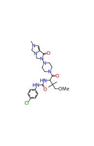 COCC(C)(C)C(NC(=O)Nc1ccc(Cl)cc1)C(=O)N1CCN(N2CN3CN(C)C=C3C2=O)CC1